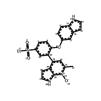 CCS(=O)(=O)c1ccc(Oc2ccc3[nH]ccc3c2)c(-c2cc(C)[n+]([O-])c3[nH]ccc23)c1